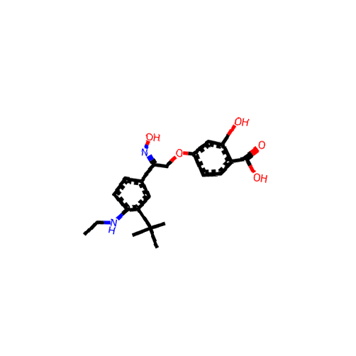 CCNc1ccc(/C(COc2ccc(C(=O)O)c(O)c2)=N/O)cc1C(C)(C)C